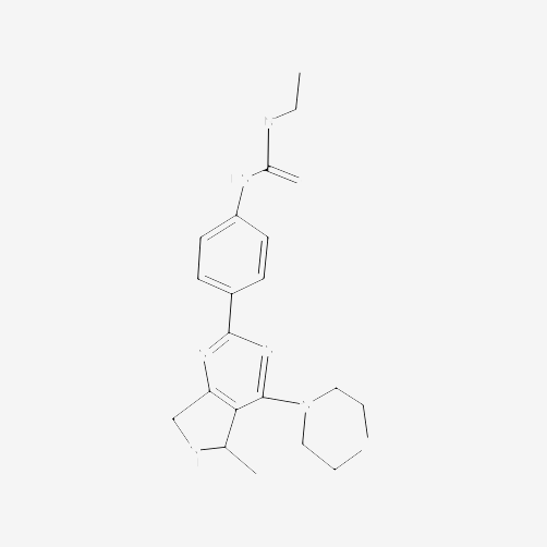 CCNC(=O)Nc1ccc(-c2nc3c(c(N4CCOCC4)n2)C(C)NC3)cc1